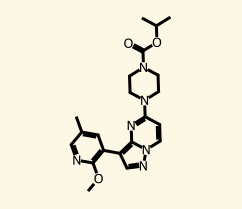 COc1ncc(C)cc1-c1cnn2ccc(N3CCN(C(=O)OC(C)C)CC3)nc12